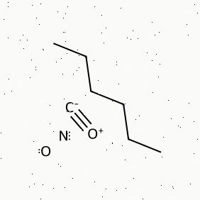 CCCCCC.[C-]#[O+].[N].[O]